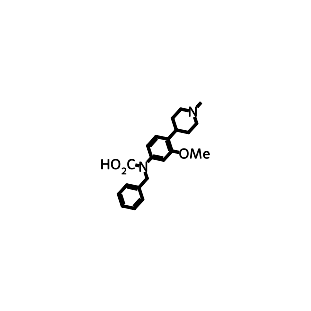 COc1cc(N(Cc2ccccc2)C(=O)O)ccc1C1CCN(C)CC1